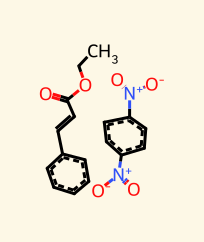 CCOC(=O)/C=C/c1ccccc1.O=[N+]([O-])c1ccc([N+](=O)[O-])cc1